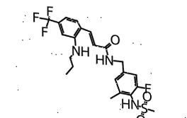 CCCNc1cc(C(F)(F)F)ccc1/C=C/C(=O)NCc1cc(C)c(NS(C)(=O)=O)c(F)c1